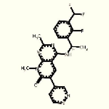 Cc1nc(N[C@H](C)c2cccc(C(F)F)c2F)c2cc(-c3ccnnc3)c(=O)n(C)c2n1